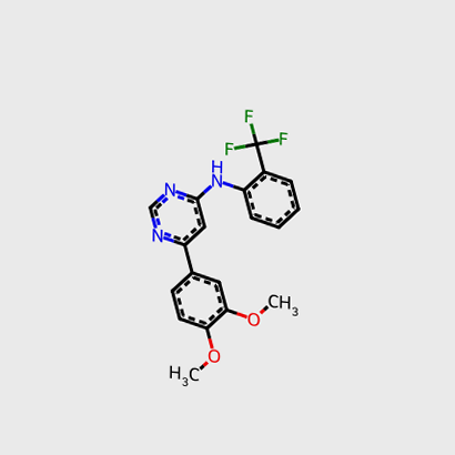 COc1ccc(-c2cc(Nc3ccccc3C(F)(F)F)ncn2)cc1OC